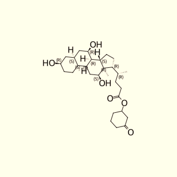 C[C@H](CCC(=O)OC1CCCC(=O)C1)[C@H]1CC[C@H]2[C@@H]3[C@H](O)C[C@@H]4C[C@H](O)CC[C@]4(C)[C@H]3C[C@H](O)[C@]12C